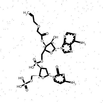 C=CCOCC(=O)O[C@@H]1C(COP(=O)(O)[C@H]2C[C@H](n3ccc(N)nc3=O)O[C@@H]2COP(=O)(O)O)O[C@@H](n2cnc3c(N)ncnc32)[C@@H]1O